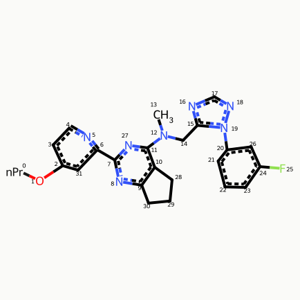 CCCOc1ccnc(-c2nc3c(c(N(C)Cc4ncnn4-c4cccc(F)c4)n2)CCC3)c1